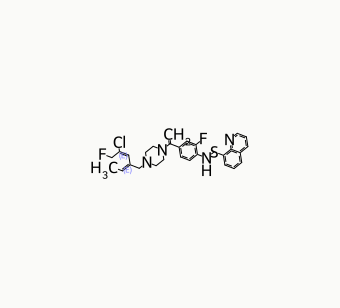 C=C(c1ccc(NSc2cccc3cccnc23)c(F)c1)N1CCN(CC(/C=C(/Cl)CF)=C/C)CC1